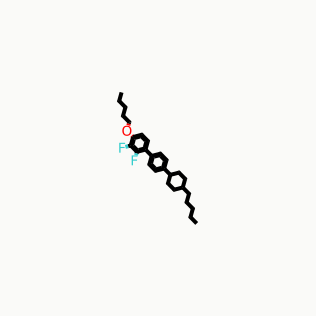 CCCCCOc1ccc(-c2ccc(C3CCC(CCCCC)CC3)cc2)c(F)c1F